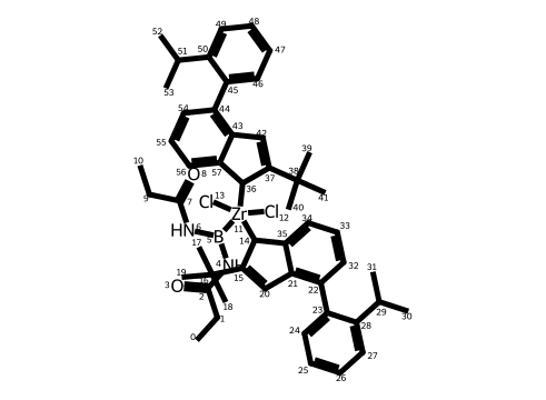 CCC(=O)N[B](NC(=O)CC)[Zr]([Cl])([Cl])([CH]1C(C(C)(C)C)=Cc2c(-c3ccccc3C(C)C)cccc21)[CH]1C(C(C)(C)C)=Cc2c(-c3ccccc3C(C)C)cccc21